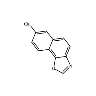 CC(C)(C)c1ccc2c(ccc3ncoc32)c1